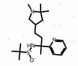 CN1CC(CCC(C)(N[S+]([O-])C(C)(C)C)c2ccccn2)CC1(C)C